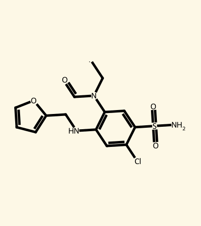 [CH2]CN(C=O)c1cc(S(N)(=O)=O)c(Cl)cc1NCc1ccco1